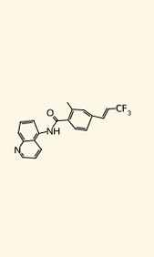 Cc1cc(/C=C/C(F)(F)F)ccc1C(=O)Nc1cccc2ncccc12